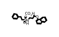 O=C(O)C(CCNS(=O)(=O)CCc1ccccc1)Oc1cccc2ccccc12